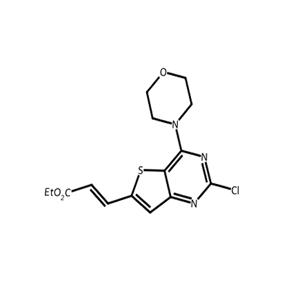 CCOC(=O)C=Cc1cc2nc(Cl)nc(N3CCOCC3)c2s1